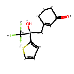 O=C1C=C(C[C@](O)(c2cccs2)C(F)(F)F)CCC1